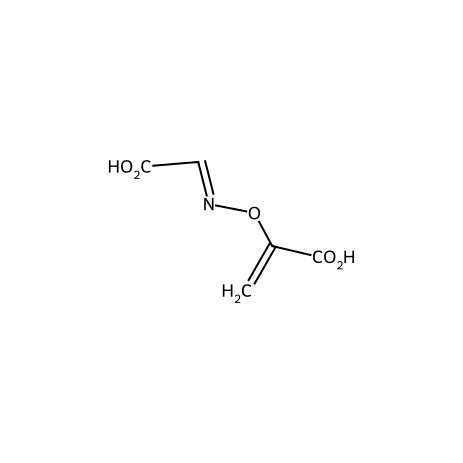 C=C(ON=CC(=O)O)C(=O)O